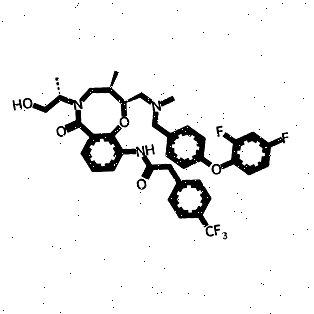 C[C@@H]1CN([C@@H](C)CO)C(=O)c2cccc(NC(=O)Cc3ccc(C(F)(F)F)cc3)c2O[C@@H]1CN(C)Cc1ccc(Oc2ccc(F)cc2F)cc1